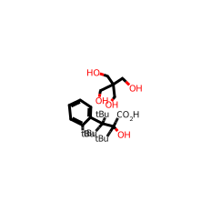 CC(C)(C)c1ccccc1C(C(C)(C)C)(C(C)(C)C)C(O)(C(=O)O)C(C)(C)C.OCC(CO)(CO)CO